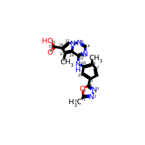 Cc1nnc(-c2ccc(C)c(Nc3ncnn4cc(C(=O)O)c(C)c34)c2)o1